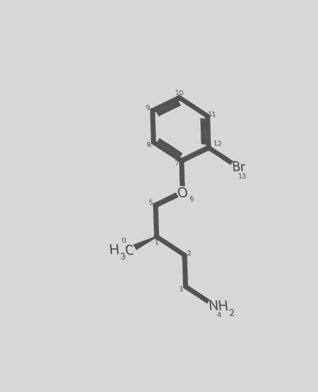 C[C@H](CCN)COc1ccccc1Br